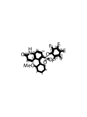 COC1CCCCC1c1c(S(=O)(=O)Oc2c(F)c(F)c(F)c(F)c2F)ccc2[nH]c(=O)ccc12